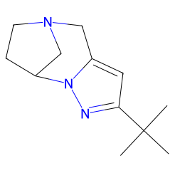 CC(C)(C)c1cc2n(n1)C1CCN(C2)C1